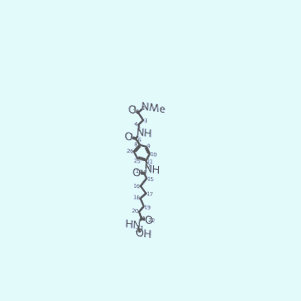 CNC(=O)CCNC(=O)c1ccc(NC(=O)CCCCCCC(=O)NO)cc1